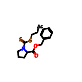 CC(=O)CCSC(=S)N1CCCC1C(=O)OCc1ccccc1